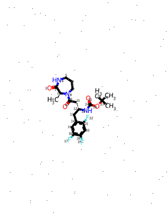 C[C@@H]1C(=O)NCCCN1C(=O)C[C@@H](Cc1cc(F)c(F)cc1F)NC(=O)OC(C)(C)C